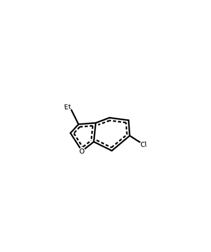 [CH2]Cc1coc2cc(Cl)ccc12